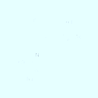 CC(=O)Sc1c(Cl)cc(Cl)c2c1CCN(C(=O)OC(C)(C)C)CC2